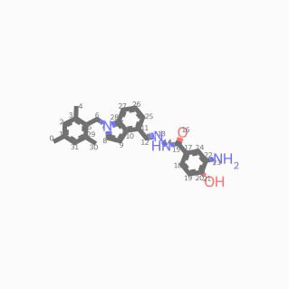 Cc1cc(C)c(Cn2ccc3c(/C=N/NC(=O)c4ccc(O)c(N)c4)cccc32)c(C)c1